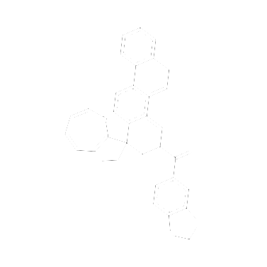 CCC1(C2=CC=CC=CN2)CC(C(=O)c2ccc3c(c2)OCO3)C=c2c1ccc1c2=CCc2ccccc2-1